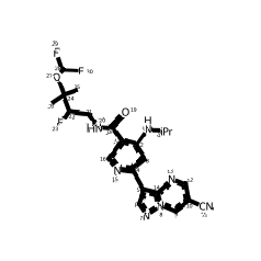 CC(C)Nc1cc(-c2cnn3cc(C#N)cnc23)ncc1C(=O)NCC(F)C(C)(C)OC(F)F